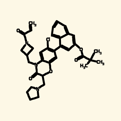 C=CC(=O)N1CC(CN2C(=O)C(CN3CCCC3)Oc3cc(-c4cc(OC(=O)C(C)(C)C)cc5ccccc45)c(Cl)cc32)C1